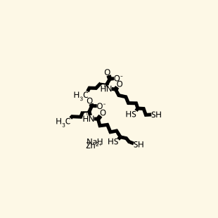 CCCC[C@H](NC(=O)CCCCC(S)CCS)C(=O)[O-].CCCC[C@H](NC(=O)CCCCC(S)CCS)C(=O)[O-].[NaH].[Zn+2]